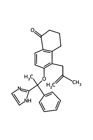 C=C(C)Cc1c(OC(C)(c2ccccc2)c2ncc[nH]2)ccc2c1CCCC2=O